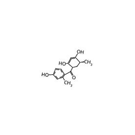 Cc1cc(O)ccc1C(=O)C1C[C@H](C)C(O)=C=C1O